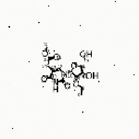 CCO[C@@H]1[C@H](O)[C@@H](CO)O[C@H]1n1cc(CC(=O)OC)c(=O)[nH]c1=O